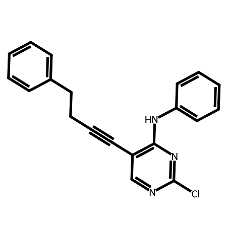 Clc1ncc(C#CCCc2ccccc2)c(Nc2ccccc2)n1